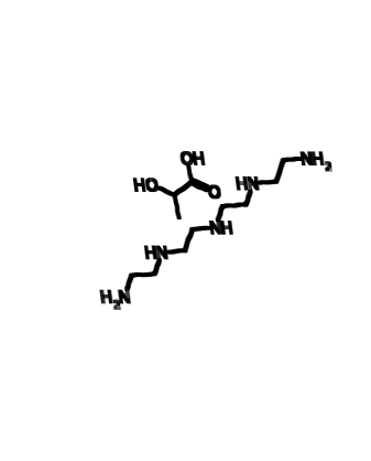 CC(O)C(=O)O.NCCNCCNCCNCCN